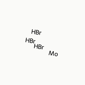 Br.Br.Br.[Mo]